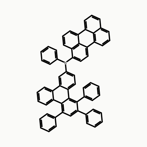 c1ccc(-c2cc(-c3ccccc3)c3c4ccccc4c4cc(N(c5ccccc5)c5ccc6c7cccc8cccc(c9cccc5c96)c87)ccc4c3c2-c2ccccc2)cc1